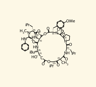 CC[C@H](C)[C@H]1NC(=O)[C@@H](NC(=O)[C@@H](CC(C)C)N(C)C(=S)Nc2ccccc2)[C@@H](C)OC(=O)[C@H](Cc2ccc(OC)cc2)N(C)C(=O)[C@@H]2CCCN2C(=O)[C@H](CC(C)C)NC(=O)[C@@H](C)C(=O)[C@H](C(C)C)OC(=O)C[C@@H]1O